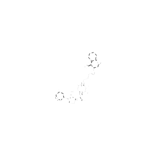 O=C([C@@H]1CSC(c2cccnc2)N1)N1CCN(CCCOc2coc3ccccc3c2=O)CC1